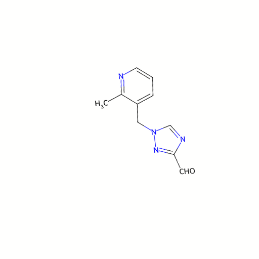 Cc1ncccc1Cn1cnc(C=O)n1